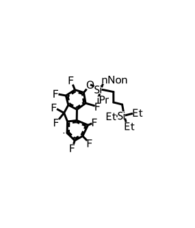 CCCCCCCCC[Si](CCC[Si](CC)(CC)CC)(Oc1c(F)c(F)c2c(c1F)-c1c([c]c(F)c(F)c1F)C2(F)F)C(C)C